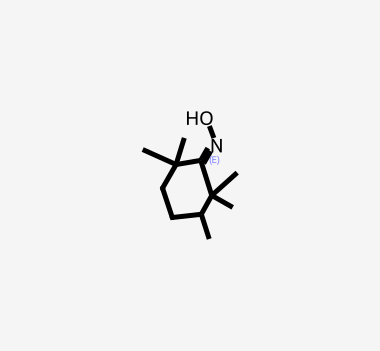 CC1CCC(C)(C)/C(=N\O)C1(C)C